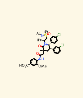 COc1cc(C(=O)O)ccc1NC(=O)C[C@@]1(C)C[C@H](c2cccc(Cl)c2)[C@@H](c2ccc(Cl)cc2)N([C@H](CS(=O)(=NC(C)=O)C(C)C)C(C)C)C1=O